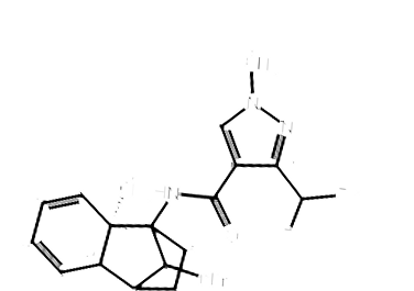 CCCC1C2CCC1(NC(=O)c1cn(C)nc1C(F)F)[C@]1(C)C=CC=CC21